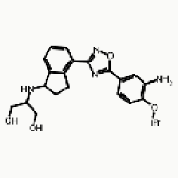 CC(C)Oc1ccc(-c2nc(-c3cccc4c3CCC4NC(CO)CO)no2)cc1N